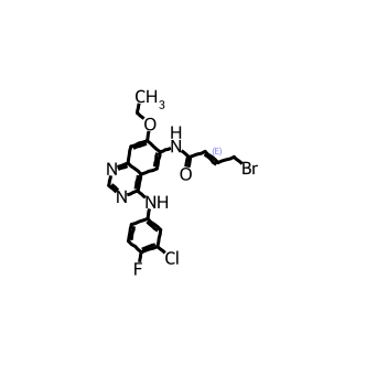 CCOc1cc2ncnc(Nc3ccc(F)c(Cl)c3)c2cc1NC(=O)/C=C/CBr